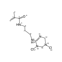 C=C(C)C(=O)NCCCNC1=NCN(Cl)CN1Cl